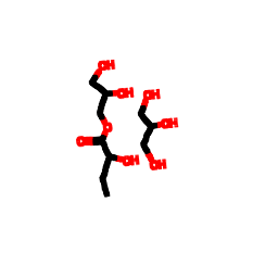 CCC(O)C(=O)OCC(O)CO.OCC(O)CO